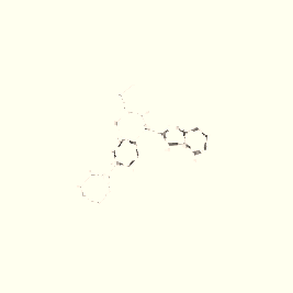 CCN1Cc2cc(N3CCOCC3)ccc2C(c2cc3ccccc3o2)C1